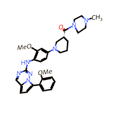 COc1cc(N2CCC[C@@H](C(=O)N3CCN(C)CC3)C2)ccc1Nc1ncc2ccc(-c3ccccc3OC)n2n1